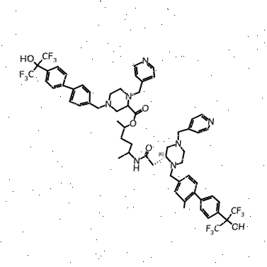 Cc1cc(CN2CCN(Cc3ccncc3)C[C@H]2CC(=O)NC(C)CCC(C)OC(=O)C2CN(Cc3ccc(-c4ccc(C(O)(C(F)(F)F)C(F)(F)F)cc4)cc3)CCN2Cc2ccncc2)ccc1-c1ccc(C(O)(C(F)(F)F)C(F)(F)F)cc1